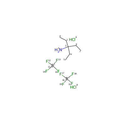 CCC(N)(CC)CC.Cl.Cl.F[B-](F)(F)F.F[B-](F)(F)F